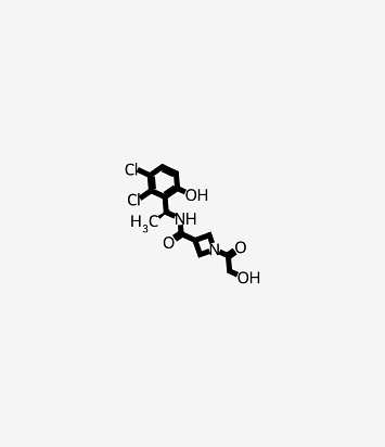 C[C@H](NC(=O)C1CN(C(=O)CO)C1)c1c(O)ccc(Cl)c1Cl